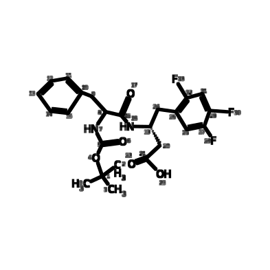 CC(C)(C)OC(=O)NC(Cc1ccccc1)C(=O)N[C@@H](CC(=O)O)Cc1cc(F)c(F)cc1F